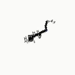 CCCCCCCC/C=C\CCCCCCCC(=O)NCCCNC(=O)OC(C)(C)C